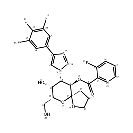 O=C(O[C@@H]1[C@@H](n2cc(-c3cc(F)c(F)c(F)c3)nn2)[C@@H](O)[C@@H](CO)O[C@@]12CCCO2)c1ncccc1F